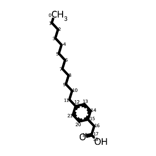 CCCCCCCCCCCCc1ccc(CC(=O)O)cc1